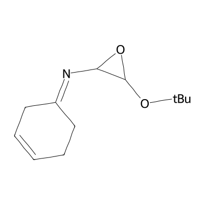 CC(C)(C)OC1OC1/N=C1/CC=CCC1